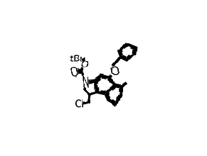 Cc1cccc2c3c(cc(OCc4ccccc4)c12)N(C(=O)OC(C)(C)C)CC3CCl